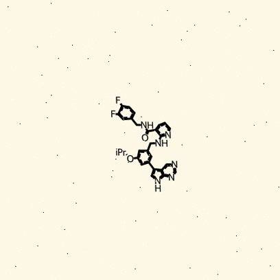 CC(C)Oc1cc(CNc2ncccc2C(=O)NCc2ccc(F)c(F)c2)cc(-c2c[nH]c3ncncc23)c1